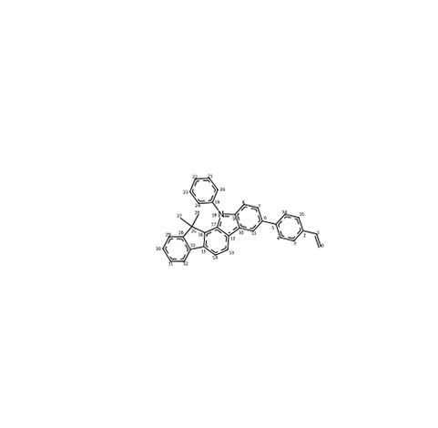 C=Cc1ccc(-c2ccc3c(c2)c2ccc4c(c2n3-c2ccccc2)C(C)(C)c2ccccc2-4)cc1